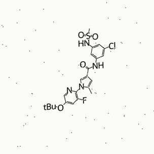 Cc1cc(C(=O)Nc2cc(Cl)cc(NS(C)(=O)=O)c2)cn1-c1ncc(OC(C)(C)C)cc1F